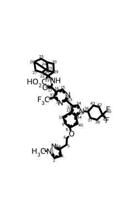 Cn1ccc(CCOc2ccc3c(-c4ncc(C(=O)NC5(C(=O)O)C6CC7CC(C6)CC5C7)c(C(F)(F)F)n4)cn(C4CCC(F)(F)CC4)c3c2)n1